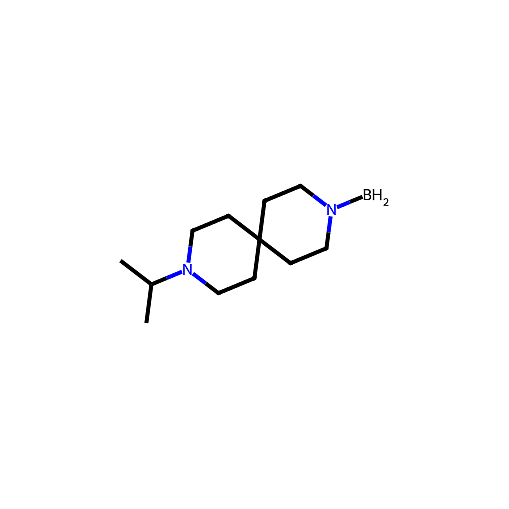 BN1CCC2(CC1)CCN(C(C)C)CC2